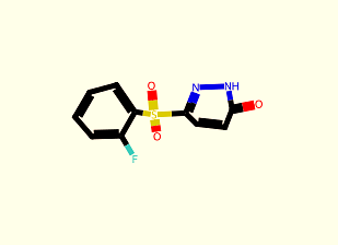 O=c1ccc(S(=O)(=O)c2ccccc2F)n[nH]1